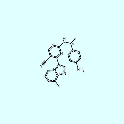 Cc1cccn2c(-c3nc(N[C@@H](C)c4ccc(N)cc4)ncc3C#N)cnc12